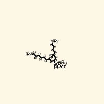 CCCCCCC[CH2][SnH]([CH2]CCC)[CH](CCCCCCC(C)C)CC(S)CCCCCCC(C)C